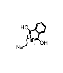 C[CH2][Na].O=C(O)c1ccccc1C(=O)O